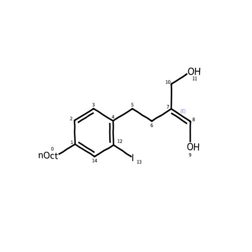 CCCCCCCCc1ccc(CC/C(=C\O)CO)c(I)c1